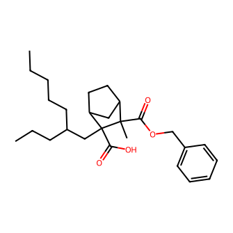 CCCCCC(CCC)CC1(C(=O)O)C2CCC(C2)C1(C)C(=O)OCc1ccccc1